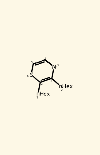 CCCCCCC1=C(CCCCCC)SC=C[N]1